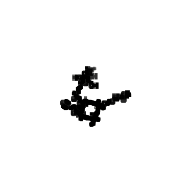 CCC1=C(C)c2cc3[nH]c(cc4nc(c5c6[nH]c(cc1n2)c(C)c6C(=O)N(CCN1CCOCC1)C5=O)[C@@H](CCC(=O)N(C)CCCS[C@@H]1O[C@H](CO)[C@@H](O)[C@H](O)[C@H]1O)[C@@H]4C)c(C)c3C(C)OCCOCCNC(=O)OC(C)(C)C.C[O-].[Na+]